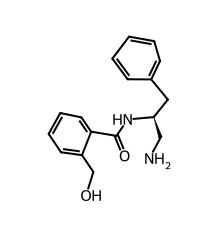 NC[C@H](Cc1ccccc1)NC(=O)c1ccccc1CO